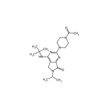 CC(=O)N1CCN(c2nc(NC(C)(C)C)c3c(n2)C(=O)N(C(C)C)C3)CC1